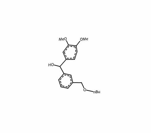 CCCCOCc1cccc(C(O)c2ccc(OC)c(OC)c2)c1